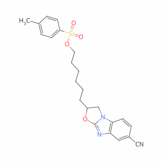 Cc1ccc(S(=O)(=O)OCCCCCCC2Cn3c(nc4cc(C#N)ccc43)O2)cc1